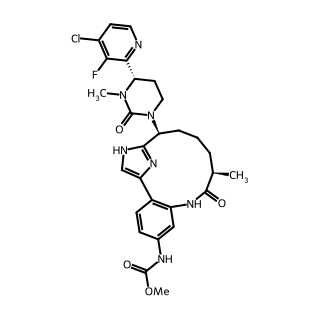 COC(=O)Nc1ccc2c(c1)NC(=O)[C@H](C)CCC[C@H](N1CC[C@@H](c3nccc(Cl)c3F)N(C)C1=O)c1nc-2c[nH]1